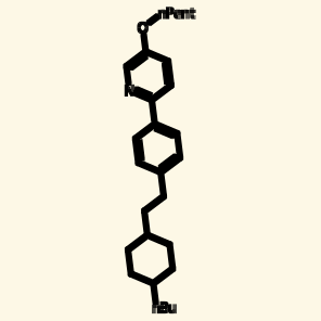 CCCCCOc1ccc(-c2ccc(CCC3CCC(CCCC)CC3)cc2)nc1